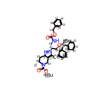 CCOC(=O)c1c2c(nn1[C@H](CNC(=O)OCc1ccccc1)CO[Si](c1ccccc1)(c1ccccc1)C(C)(C)C)C[C@@H](C)N(C(=O)OC(C)(C)C)C2